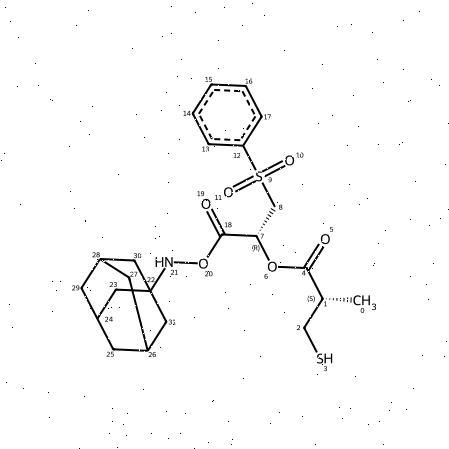 C[C@H](CS)C(=O)O[C@@H](CS(=O)(=O)c1ccccc1)C(=O)ONC12CC3CC(CC(C3)C1)C2